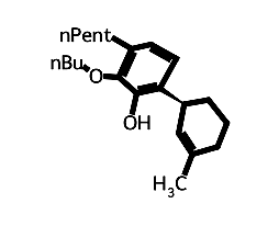 CCCCCc1ccc([C@@H]2C=C(C)CCC2)c(O)c1OCCCC